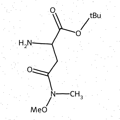 CON(C)C(=O)CC(N)C(=O)OC(C)(C)C